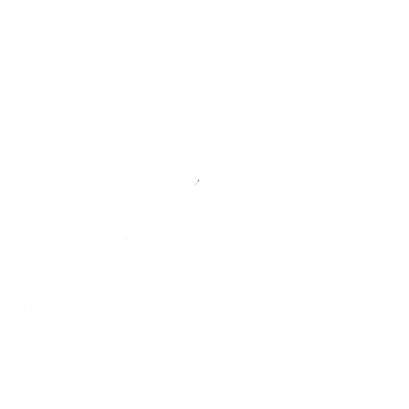 COCCOc1ccc(OC(=O)[C@H]2CC[C@H](C(=O)Oc3ccc(OCCOCc4ccccc4)cc3)CC2)cc1